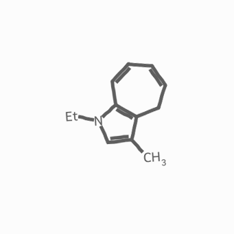 CCn1cc(C)c2c1C=CC=CC2